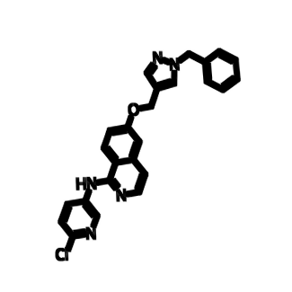 Clc1ccc(Nc2nccc3cc(OCc4cnn(Cc5ccccc5)c4)ccc23)cn1